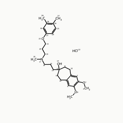 COc1cc2c(cc1OC)CCC(O)(CCCN(C)CCCOc1ccc(C)c(C)c1)CC2.Cl